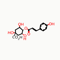 O=C(/C=C/c1ccc(O)cc1)O[C@H]1C(O)C[C@](O)(C(=O)O)C[C@@H]1O